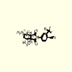 C[C@]12O[C@](C)(C[C@H]1N)[C@H]1C(=O)N(c3ccc(C#N)c(C(F)(F)F)c3)C(=O)[C@H]12